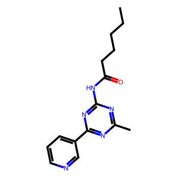 CCCCCC(=O)Nc1nc(C)nc(-c2cccnc2)n1